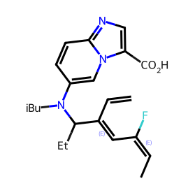 C=C/C(=C\C(F)=C/C)C(CC)N(c1ccc2ncc(C(=O)O)n2c1)C(C)CC